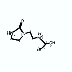 O=C1NCCN1CC[SiH2]C(O)Br